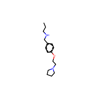 CCCNCc1ccc(OCCN2CCCC2)cc1